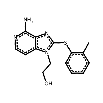 Cc1ccccc1Sc1nc2c(N)nccc2n1CCO